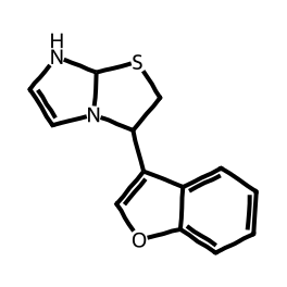 C1=CN2C(N1)SCC2c1coc2ccccc12